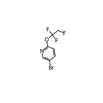 FCC(F)(F)Oc1ccc(Br)cn1